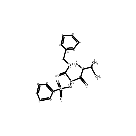 CC(C)[C@H](N)C(=O)N(NS(=O)(=O)c1ccccc1)C(=O)OCc1ccccc1